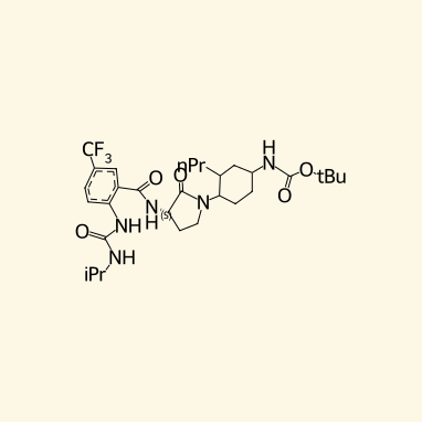 CCCC1CC(NC(=O)OC(C)(C)C)CCC1N1CC[C@H](NC(=O)c2cc(C(F)(F)F)ccc2NC(=O)NC(C)C)C1=O